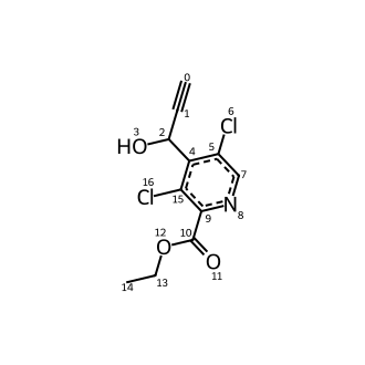 C#CC(O)c1c(Cl)cnc(C(=O)OCC)c1Cl